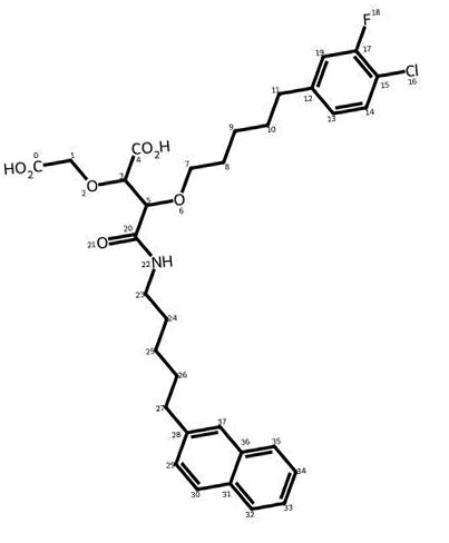 O=C(O)COC(C(=O)O)C(OCCCCCc1ccc(Cl)c(F)c1)C(=O)NCCCCCc1ccc2ccccc2c1